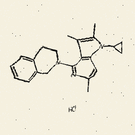 Cc1cc2c(c(N3CCc4ccccc4C3)n1)c(C)c(C)n2C1CC1.Cl